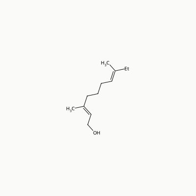 CCC(C)=CCCCC(C)=CCO